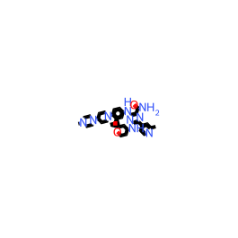 CCc1cc(Nc2nc(NC3CCOC4(CC4)C3)c(-c3ccnc(C)c3)nc2C(N)=O)ccc1N1CCC(N2CCN(C)CC2)CC1